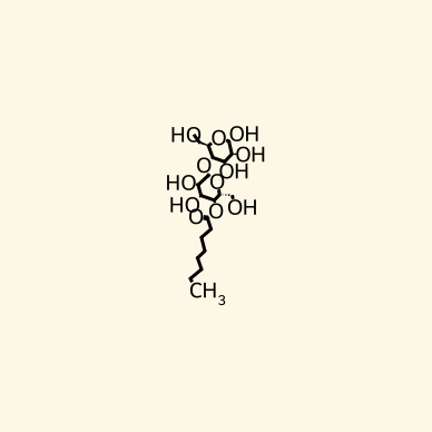 CCCCCCCC(=O)O[C@H]1[C@H](O)[C@@H](O)[C@H](O[C@H]2[C@H](O)[C@@H](O)[C@H](O)O[C@@H]2CO)O[C@@H]1CO